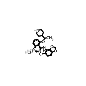 CC(Oc1cccc2ncnc(Nc3c(Cl)ccc4c3OCO4)c12)C1CCNCC1.Cl.Cl